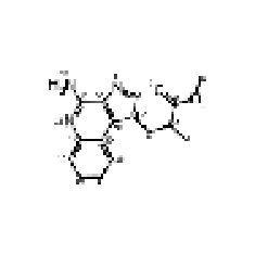 COC(=O)C(C)Cn1cnc2c(N)nc3ccccc3c21